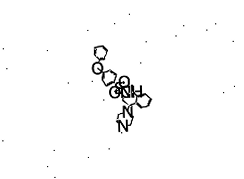 CN1CCN([C@@H](CNS(=O)(=O)c2ccc(Oc3ccccc3)cc2)c2ccccc2Cl)CC1